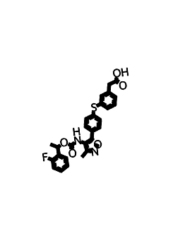 Cc1noc(-c2ccc(Sc3cccc(CC(=O)O)c3)cc2)c1NC(=O)OC(C)c1ccccc1F